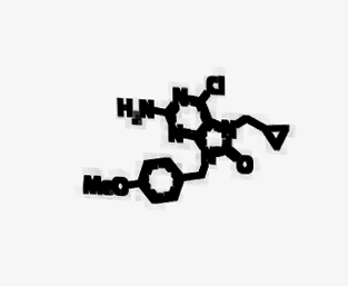 COc1ccc(Cn2c(=O)n(CC3CC3)c3c(Cl)nc(N)nc32)cc1